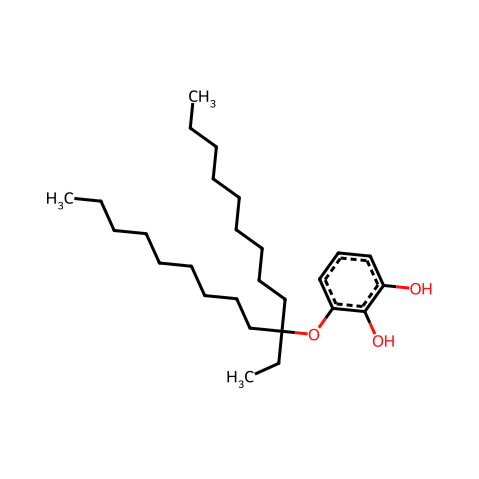 CCCCCCCCCC(CC)(CCCCCCCCC)Oc1cccc(O)c1O